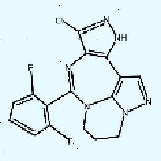 Fc1cccc(F)c1C1=Nc2c(Cl)n[nH]c2-c2cnn3c2N1CCC3